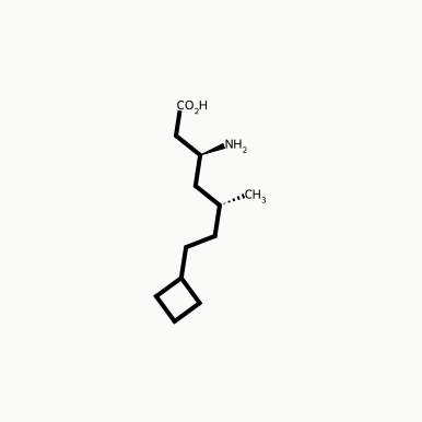 C[C@H](CCC1CCC1)C[C@H](N)CC(=O)O